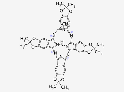 C[N+]1=C2/N=c3/c4cc5c(cc4/c4n3Nn3c(c6cc7c(cc6c3/N=C1/c1cc3c(cc12)OC(C)(C)O3)OC(C)(C)O7)/N=C1N=C(/N=4)c2cc3c(cc2\1)OC(C)(C)O3)OC(C)(C)O5